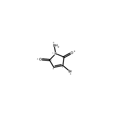 BN1C(=O)C=C(Br)C1=O